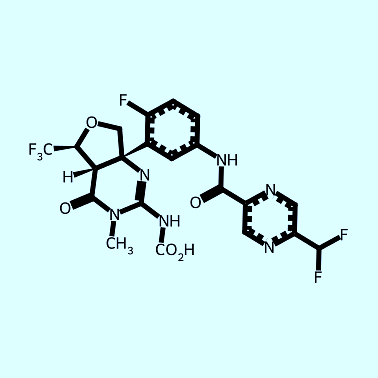 CN1C(=O)[C@@H]2[C@@H](C(F)(F)F)OC[C@]2(c2cc(NC(=O)c3cnc(C(F)F)cn3)ccc2F)N=C1NC(=O)O